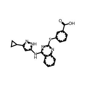 O=C(O)c1cccc(Sc2nc(Nc3cc(C4CC4)n[nH]3)c3ccccc3n2)c1